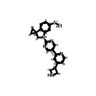 CCSc1ccc2c(c1)N(c1ncc(-c3cc(C4CNC4)ccn3)cn1)CC21CC1